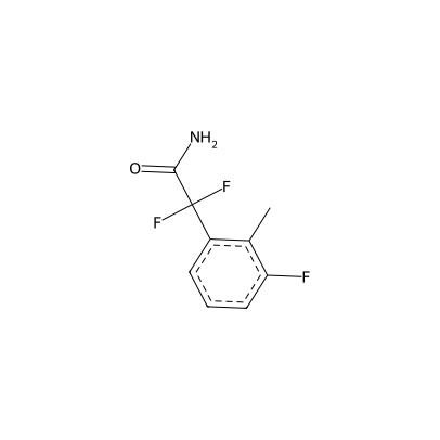 Cc1c(F)cccc1C(F)(F)C(N)=O